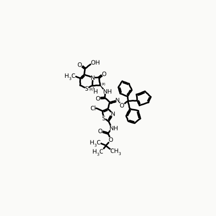 CC1=C(C(=O)O)N2C(=O)[C@@H](NC(=O)C(=NOC(c3ccccc3)(c3ccccc3)c3ccccc3)c3nc(NC(=O)OC(C)(C)C)sc3Cl)[C@H]2SC1